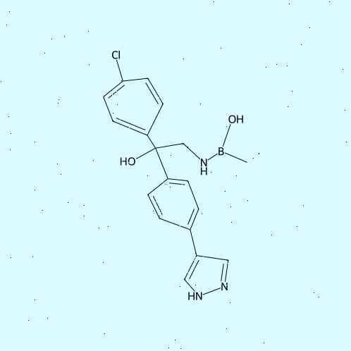 CB(O)NCC(O)(c1ccc(Cl)cc1)c1ccc(-c2cn[nH]c2)cc1